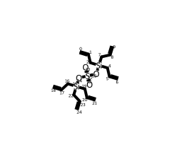 C=CC[Si](CC=C)(CC=C)OS(=O)(=O)O[Si](CC=C)(CC=C)CC=C